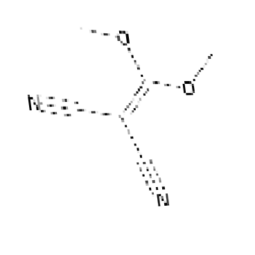 COC(OC)=C(C#N)C#N